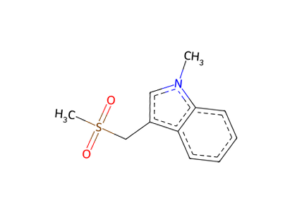 Cn1cc(CS(C)(=O)=O)c2ccccc21